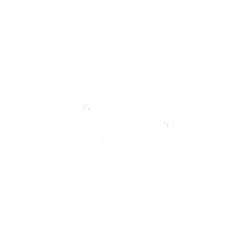 CO/C(C=N)=C/C(N)=O